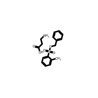 Cc1ccccc1S(=O)(=O)OCc1ccccc1.NCCC(=O)O